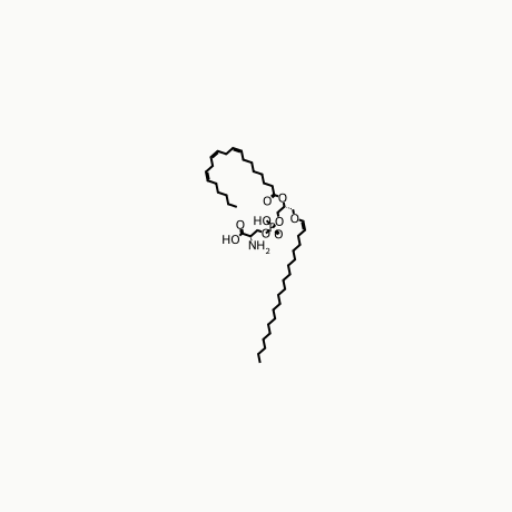 CCCCC/C=C\C/C=C\C/C=C\CCCCCCC(=O)O[C@H](CO/C=C\CCCCCCCCCCCCCCCCCC)COP(=O)(O)OC[C@H](N)C(=O)O